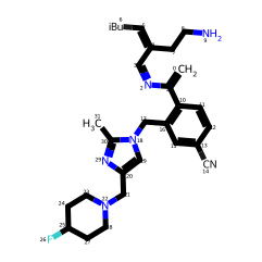 C=C(/N=C\C(=C/C(C)CC)CCN)c1ccc(C#N)cc1Cn1cc(CN2CCC(F)CC2)nc1C